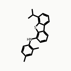 Cc1ccc(Nc2cccc3c2sc2c(C(C)C)cccc23)c(C)c1